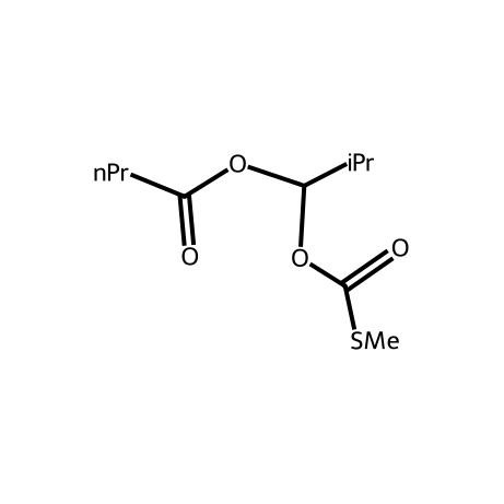 CCCC(=O)OC(OC(=O)SC)C(C)C